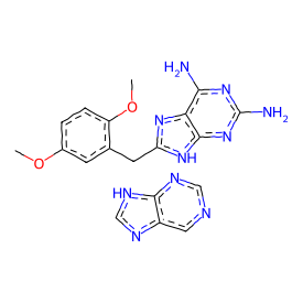 COc1ccc(OC)c(Cc2nc3c(N)nc(N)nc3[nH]2)c1.c1ncc2nc[nH]c2n1